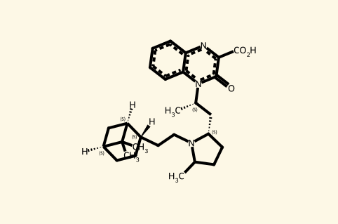 CC1CC[C@@H](C[C@H](C)n2c(=O)c(C(=O)O)nc3ccccc32)N1CC[C@@H]1CC[C@H]2C[C@@H]1C2(C)C